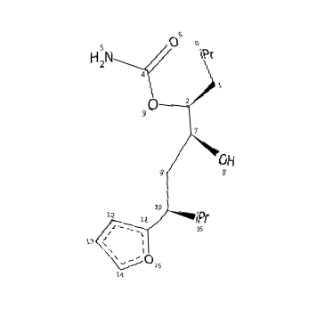 CC(C)C[C@H](OC(N)=O)[C@@H](O)C[C@H](c1ccco1)C(C)C